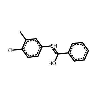 Cc1cc([SH]=C(O)c2ccccc2)ccc1Cl